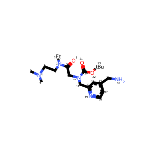 CCN(CCN(C)C)C(=O)CN(Cc1cc(CN)ccn1)C(=O)OC(C)(C)C